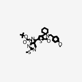 COc1ccc(CN2C(=O)c3sc(-c4nn(C(=O)OC(C)(C)C)c5nc(SC)ncc45)cc3C23CCCCC3)cc1